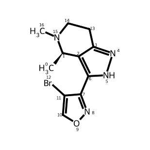 C[C@@H]1c2c(n[nH]c2-c2nocc2Br)CCN1C